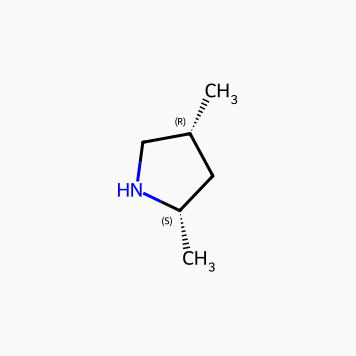 C[C@H]1CN[C@@H](C)C1